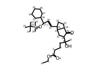 CCOC(=O)CCCC(C)(O)C1CC2C(/C=C/C(O[Si](C)(C)C(C)(C)C)C3CCCCC3)CCC2C1=O